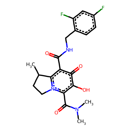 CC1CCn2c(C(=O)N(C)C)c(O)c(=O)c(C(=O)NCc3ccc(F)cc3F)c21